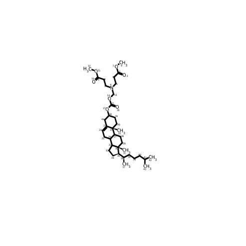 COC(=O)CCN(CCC(=O)OC)COC(=O)OC1CC[C@@]2(C)C(=CCC3C2CC[C@@]2(C)C3CC[C@@H]2[C@H](C)CCCC(C)C)C1